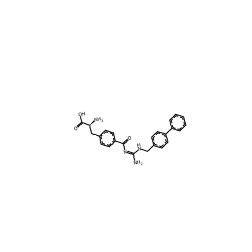 NC(=NC(=O)c1ccc(C[C@H](N)C(=O)O)cc1)NCc1ccc(-c2ccccc2)cc1